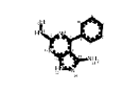 CCNc1nc(-c2ccccc2)c2c(N)n[nH]c2n1